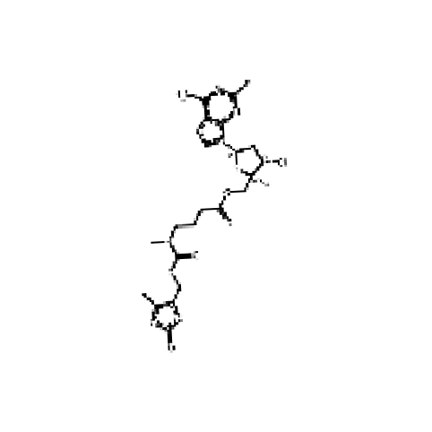 Cc1oc(=O)oc1COC(=O)N(C)CCCC(=O)OC[C@@]1(C)O[C@@H](n2cnc3c(N)nc(F)nc32)C[C@@H]1O